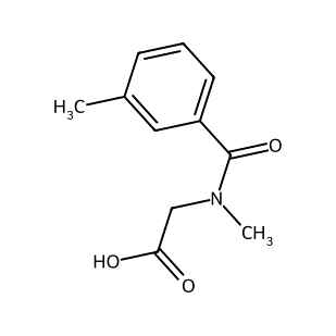 Cc1cccc(C(=O)N(C)CC(=O)O)c1